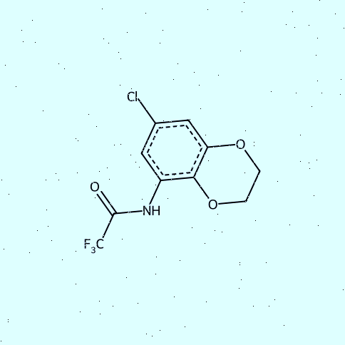 O=C(Nc1cc(Cl)cc2c1OCCO2)C(F)(F)F